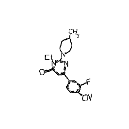 CCn1c(N2CCC(C)CC2)nc(-c2ccc(C#N)c(F)c2)cc1=O